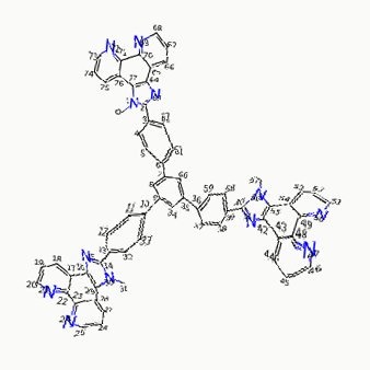 Cn1c(-c2ccc(-c3cc(-c4ccc(-c5nc6c7cccnc7c7ncccc7c6n5C)cc4)cc(-c4ccc(-c5nc6c7cccnc7c7ncccc7c6n5C)cc4)c3)cc2)nc2c3cccnc3c3ncccc3c21